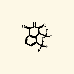 O=C1NC(=O)C(C(F)(F)F)c2c1cccc2C(F)(F)F